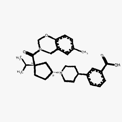 Cc1ccc2c(c1)CN(C(=O)[C@@]1(C(C)C)CC[C@@H](N3CCC(c4cccc(C(=O)O)c4)CC3)C1)CO2